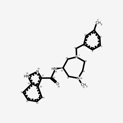 Cc1cccc(CN2CCN(C)C[C@@H](NC(=O)c3n[nH]c4ccccc34)C2)c1